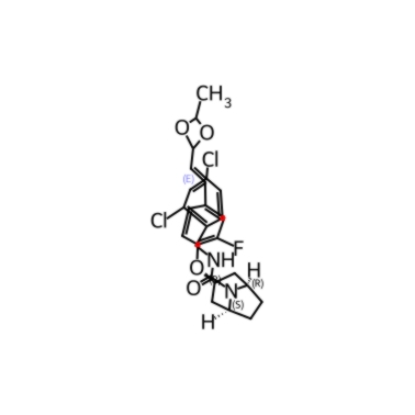 CC1OC(/C=C/c2ccc(O[C@H]3C[C@H]4CC[C@@H](C3)N4C(=O)NCc3ccc(Cl)cc3Cl)c(F)c2)O1